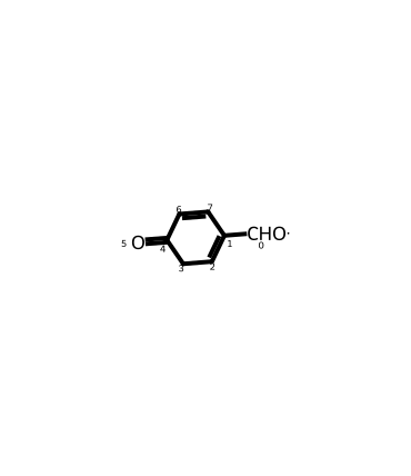 O=[C]C1=CCC(=O)C=C1